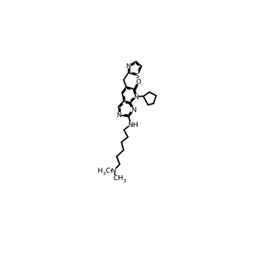 CN(C)CCCCCCNc1ncc2cc(Cc3nccs3)c(=O)n(C3CCCC3)c2n1